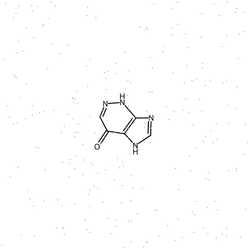 O=c1cn[nH]c2nc[nH]c12